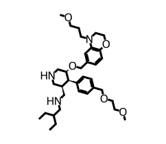 CCC(CC)CNC[C@H]1CNC[C@H](OCc2ccc3c(c2)N(CCCOC)CCO3)[C@H]1c1ccc(COCCOC)cc1